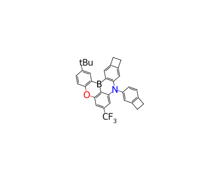 CC(C)(C)c1ccc2c(c1)B1c3cc4c(cc3N(c3ccc5c(c3)CC5)c3cc(C(F)(F)F)cc(c31)O2)CC4